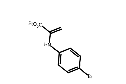 C=C(Nc1ccc(Br)cc1)C(=O)OCC